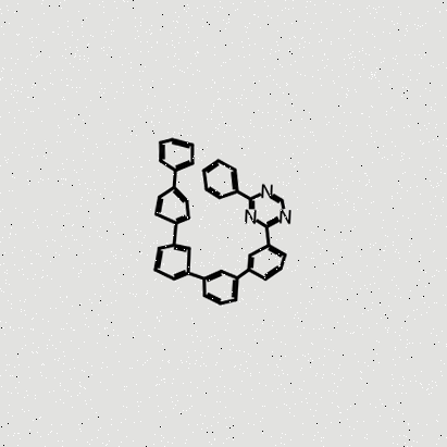 c1ccc(-c2ccc(-c3cccc(-c4cccc(-c5cccc(-c6ncnc(-c7ccccc7)n6)c5)c4)c3)cc2)cc1